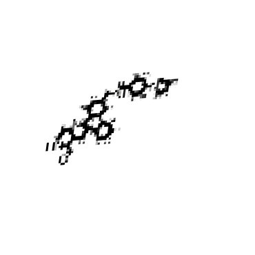 O=CC1NC=Cc2nc(-c3ccc(CNCc4ccc(-n5cccc5)cc4)cc3)c(-c3ccccc3)cc21